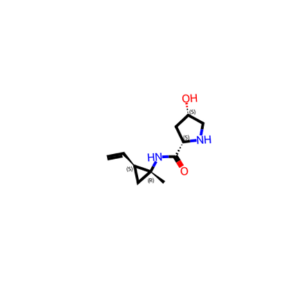 C=C[C@@H]1C[C@@]1(C)NC(=O)[C@@H]1C[C@H](O)CN1